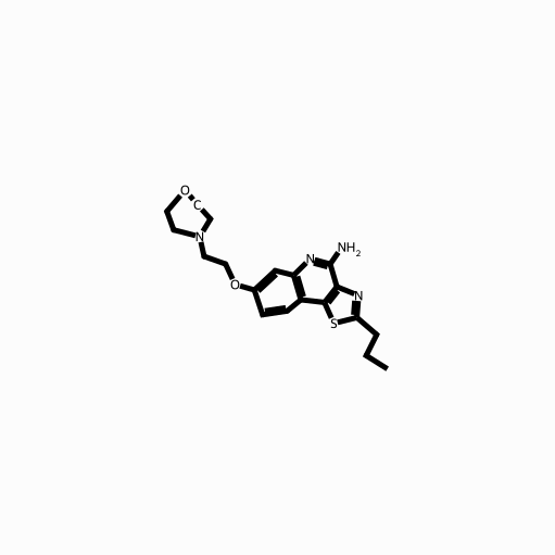 CCCc1nc2c(N)nc3cc(OCCN4CCOCC4)ccc3c2s1